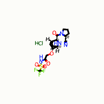 Cl.N#C[C@@H]1CCCN1C(=O)[C@H]1N[C@H]2C[C@@H]1C[C@H]2OCC(=O)NS(=O)(=O)C(F)(F)F